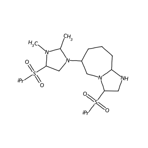 CC1N(C)C(S(=O)(=O)C(C)C)CN1C1CCCC2NCC(S(=O)(=O)C(C)C)N2C1